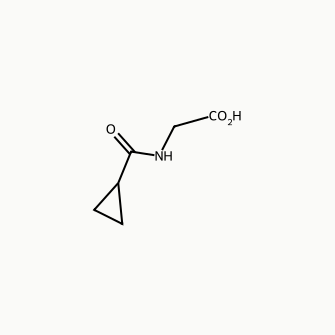 O=C(O)CNC(=O)C1CC1